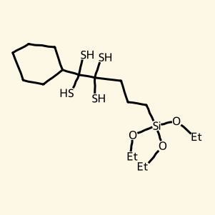 CCO[Si](CCCC(S)(S)C(S)(S)C1CCCCC1)(OCC)OCC